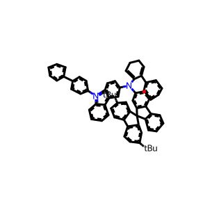 CC(C)(C)c1ccc2c(c1)C1(c3ccccc3-c3ccc(N(C4=CCCC=C4c4ccccc4)c4ccc5c(c4)c4ccccc4n5-c4ccc(-c5ccccc5)cc4)cc31)c1cc(C(C)(C)C)ccc1-2